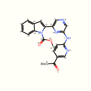 COC(=O)c1ccc(Nc2cncc(-c3cc4ccccc4n3C(=O)OC(C)(C)C)n2)nc1